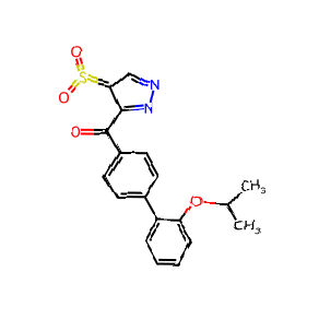 CC(C)Oc1ccccc1-c1ccc(C(=O)C2=NN=CC2=S(=O)=O)cc1